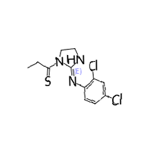 CCC(=S)N1CCN/C1=N\c1ccc(Cl)cc1Cl